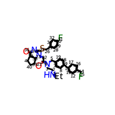 CCNCCN(Cc1ccc(-c2ccc(CF)cc2)cc1)C(=O)Cn1c(SCc2ccc(F)cc2)nc(=O)c2c1CCC2